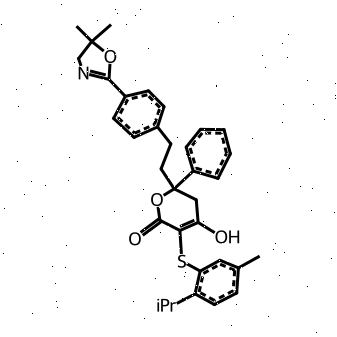 Cc1ccc(C(C)C)c(SC2=C(O)CC(CCc3ccc(C4=NCC(C)(C)O4)cc3)(c3ccccc3)OC2=O)c1